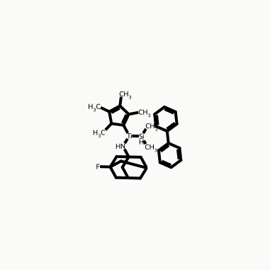 CC1=C(C)C(C)[C]([Ti]([NH]C23CC4CC(CC(F)(C4)C2)C3)[SiH](C)C)=C1C.c1ccc(-c2ccccc2)cc1